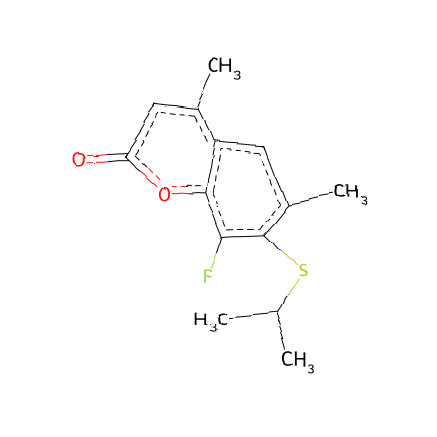 Cc1cc2c(C)cc(=O)oc2c(F)c1SC(C)C